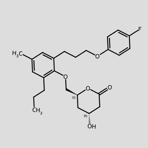 CCCc1cc(C)cc(CCCOc2ccc(F)cc2)c1OC[C@@H]1C[C@@H](O)CC(=O)O1